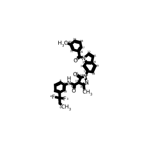 CCC(F)(F)c1cccc(NC(=O)C2C(=O)N(c3ccc4ccn(C(=O)c5cccc(C)c5)c4c3)N=C2C)c1